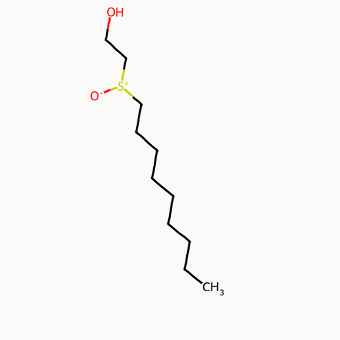 CCCCCCCCC[S+]([O-])CCO